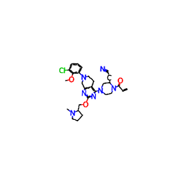 C=CC(=O)N1CCN(c2nc(OCC3CCCN3C)nc3c2CCN(c2cccc(Cl)c2OC)C3)CC1CC#N